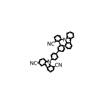 N#Cc1ccc2c(c1)c1cccc(C#N)c1n2-c1ccc(-c2cccc(-c3c(C#N)cccc3-n3c4ccccc4c4ccccc43)c2)cc1